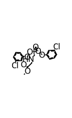 COC(=O)CNCP(=O)(OOc1cccc(Cl)c1)OOc1cccc(Cl)c1